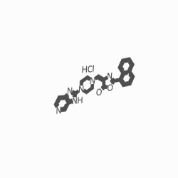 Cl.O=C1OC(c2cccc3ccccc23)=N/C1=C/N1CCN(c2nc3ccncc3[nH]2)CC1